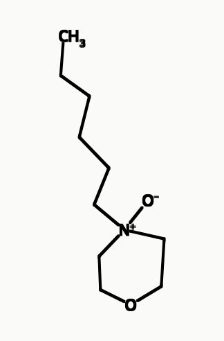 CCCCCC[N+]1([O-])CCOCC1